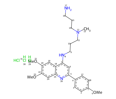 COc1ccc(-c2cc(NCCCN(C)CCCN)c3cc(OC)c(OC)cc3n2)cc1.Cl.Cl.Cl